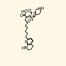 CS(=O)(=O)N(C(=O)[C@H]1CCCNC1)[C@@H](CCCCCCCc1ccc2c(n1)NCCC2)C(=O)O